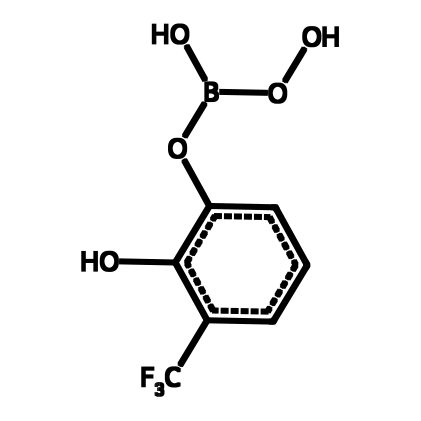 OOB(O)Oc1cccc(C(F)(F)F)c1O